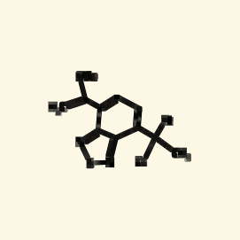 C=C(SC)c1ccc(C(C)(CC)CC)c2nsnc12